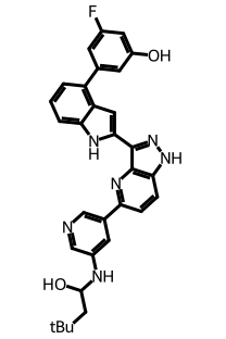 CC(C)(C)CC(O)Nc1cncc(-c2ccc3[nH]nc(-c4cc5c(-c6cc(O)cc(F)c6)cccc5[nH]4)c3n2)c1